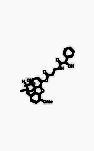 COc1ccc2c3c1OC1C(OC(=O)CCNC(=O)C(O)c4ccccc4)=CC[C@@]4(O)[C@@H](C2)N(C)CCC314